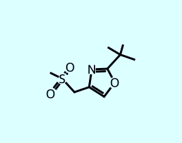 CC(C)(C)c1nc(CS(C)(=O)=O)co1